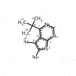 [2H]c1sc2ncnc(C(C)(C)C)c2c1[2H]